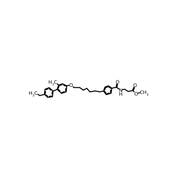 CCc1ccc(-c2ccc(OCCCCCCCc3ccc(C(=O)NCCC(=O)OC)cc3)cc2C)cc1